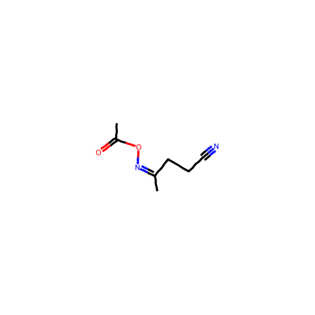 CC(=O)ON=C(C)CCC#N